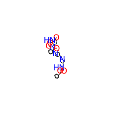 O=C1CCC(N2C(=O)c3cccc(N4CCC(CN5CCC(CNC(=O)OCc6ccccc6)CC5)CC4)c3C2=O)C(=O)N1